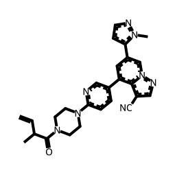 C=CC(C)C(=O)N1CCN(c2ccc(-c3cc(-c4ccnn4C)cn4ncc(C#N)c34)cn2)CC1